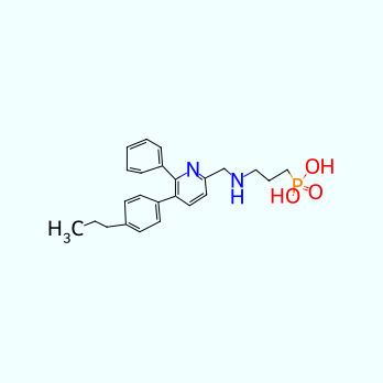 CCCc1ccc(-c2ccc(CNCCCP(=O)(O)O)nc2-c2ccccc2)cc1